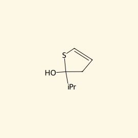 CC(C)C1(O)CC=CS1